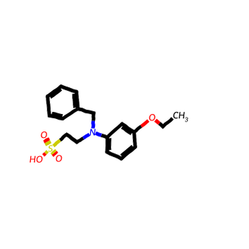 CCOc1cccc(N(CCS(=O)(=O)O)Cc2ccccc2)c1